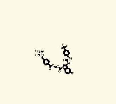 O=C(Nc1ccc(C(F)(F)F)cc1)Nc1cn(C(=O)OCOC(=O)c2ccc(COP(=O)(O)O)cc2)c2ccc(F)cc12